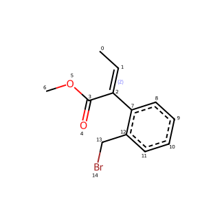 C/C=C(\C(=O)OC)c1ccccc1CBr